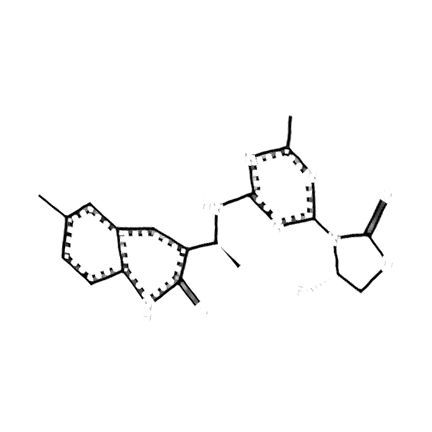 CC[C@H]1COC(=O)N1c1nc(C)nc(N[C@@H](C)c2cc3cc(C)ccc3[nH]c2=O)n1